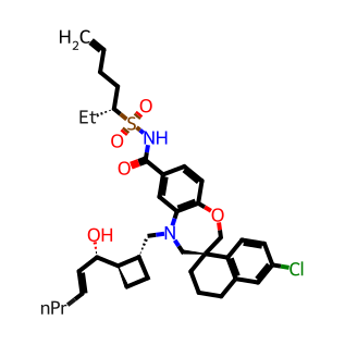 C=CCC[C@@H](CC)S(=O)(=O)NC(=O)c1ccc2c(c1)N(C[C@@H]1CC[C@H]1[C@@H](O)/C=C/CCC)C[C@@]1(CCCc3cc(Cl)ccc31)CO2